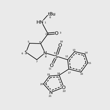 CC(C)(C)NC(=O)C1CSCN1S(=O)(=O)c1ccccc1-c1ccno1